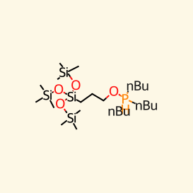 CCCC[PH](CCCC)(CCCC)OCCC[Si](O[Si](C)(C)C)(O[Si](C)(C)C)O[Si](C)(C)C